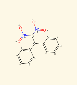 O=[N+]([O-])C(C(c1ccccc1)c1ccccc1)[N+](=O)[O-]